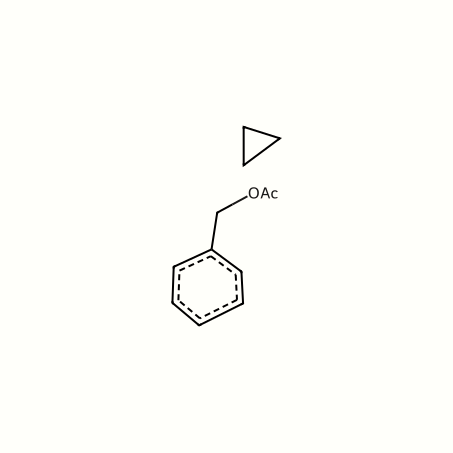 C1CC1.CC(=O)OCc1ccccc1